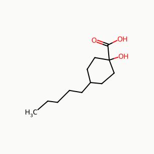 CCCCCC1CCC(O)(C(=O)O)CC1